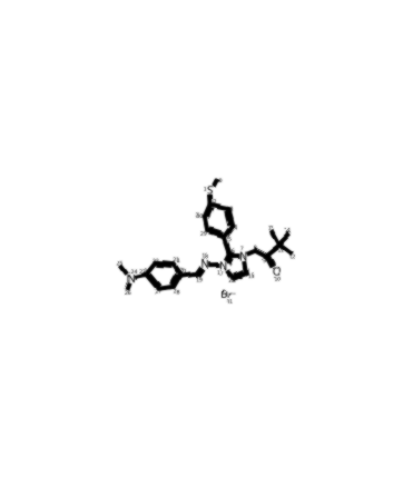 CSc1ccc(-c2n(CC(=O)C(C)(C)C)cc[n+]2N=Cc2ccc(N(C)C)cc2)cc1.[Br-]